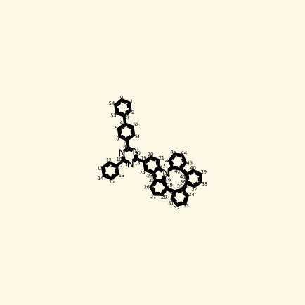 c1ccc(-c2ccc(-c3nc(-c4ccccc4)nc(-c4ccc5c(c4)c4cccc6c7ccccc7c7ccccc7c7ccccc7n5c64)n3)cc2)cc1